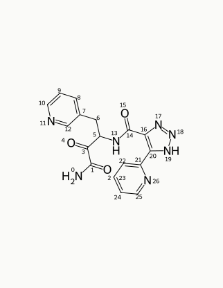 NC(=O)C(=O)C(Cc1cccnc1)NC(=O)c1nn[nH]c1-c1ccccn1